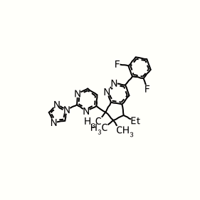 CCC1c2cc(-c3c(F)cccc3F)nnc2C(C)(c2ccnc(-n3cncn3)n2)C1(C)C